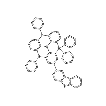 c1ccc(B2c3cccc4c3N3c5c2cccc5[Si](c2ccccc2)(c2ccccc2)c2cc(-c5ccc6sc7ccccc7c6c5)cc(c23)B4c2ccccc2)cc1